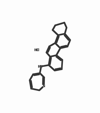 C1=CCN=CC(Nc2cccc3c2ccc2c4c(ccc23)CCCC4)=C1.Cl